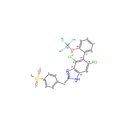 CS(=O)(=O)c1ccc(Cc2nc3c(Cl)c(-c4ccccc4OC(F)(F)F)c(Cl)cc3[nH]2)cc1